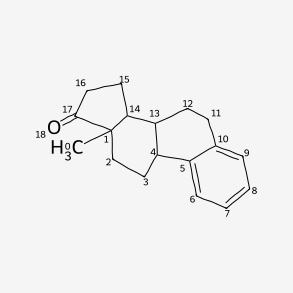 CC12CCC3c4ccccc4CCC3C1CCC2=O